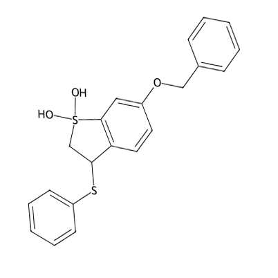 OS1(O)CC(Sc2ccccc2)c2ccc(OCc3ccccc3)cc21